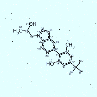 Cc1cc(C(F)(F)F)cc(O)c1-c1cc2ccn(C[C@H](C)O)c2nn1